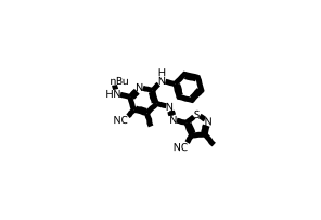 CCCCNc1nc(Nc2ccccc2)c(N=Nc2snc(C)c2C#N)c(C)c1C#N